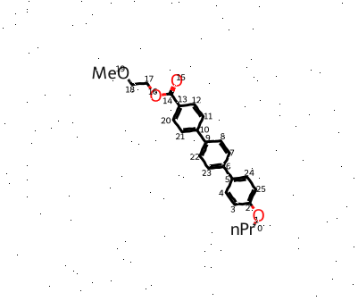 CCCOc1ccc(-c2ccc(-c3ccc(C(=O)OCCOC)cc3)cc2)cc1